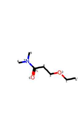 [CH2]COCCC(=O)N(C)C